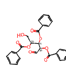 O=C[C@H](OC(=O)c1ccccc1)[C@H](OC(=O)c1ccccc1)[C@H](CO)OC(=O)c1ccccc1